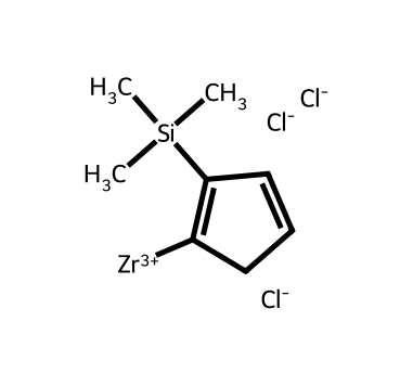 C[Si](C)(C)C1=[C]([Zr+3])CC=C1.[Cl-].[Cl-].[Cl-]